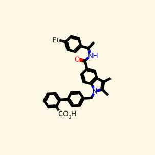 CCc1ccc(C(C)NC(=O)c2ccc3c(c2)c(C)c(C)n3Cc2ccc(-c3ccccc3C(=O)O)cc2)cc1